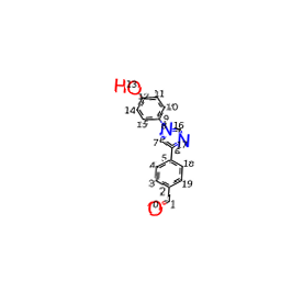 O=Cc1ccc(-c2cn(-c3ccc(O)cc3)cn2)cc1